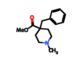 COC(=O)C1(Cc2ccccc2)CCN(C)CC1